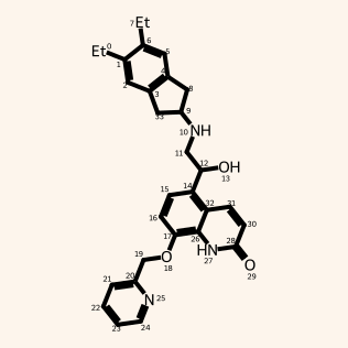 CCc1cc2c(cc1CC)CC(NCC(O)c1ccc(OCc3ccccn3)c3[nH]c(=O)ccc13)C2